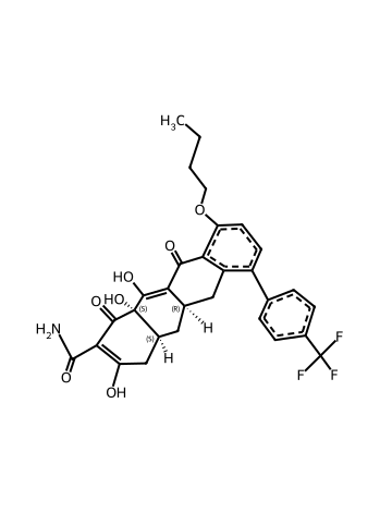 CCCCOc1ccc(-c2ccc(C(F)(F)F)cc2)c2c1C(=O)C1=C(O)[C@]3(O)C(=O)C(C(N)=O)=C(O)C[C@@H]3C[C@@H]1C2